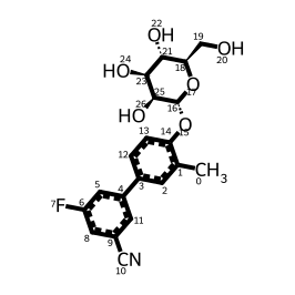 Cc1cc(-c2cc(F)cc(C#N)c2)ccc1O[C@H]1O[C@H](CO)[C@@H](O)[C@H](O)[C@@H]1O